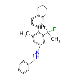 CCCC(C)(F)c1cc(NCCc2ccccc2)cc(C)c1-c1ccc2c(c1)CCCC2